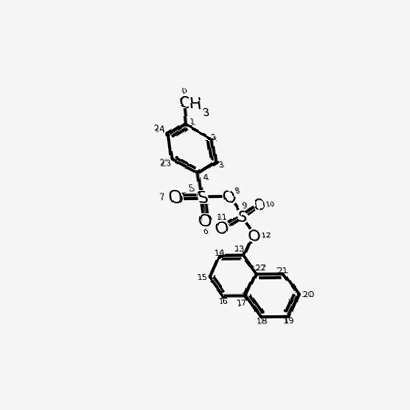 Cc1ccc(S(=O)(=O)OS(=O)(=O)Oc2cccc3ccccc23)cc1